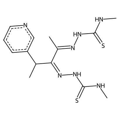 CNC(=S)N/N=C(\C(C)=N\NC(=S)NC)C(C)c1cccnc1